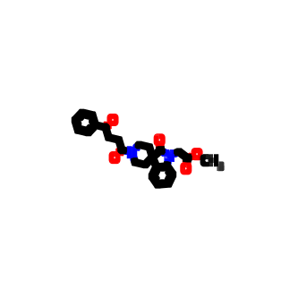 COC(=O)CN1C(=O)C2(CCN(C(=O)CCC(=O)c3ccccc3)CC2)c2ccccc21